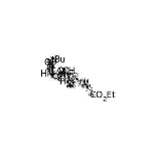 CCOC(=O)CCCCN1CCC(C#Cc2ccc([C@H](C)NC(=O)c3cc(NC4CN(C(=O)OC(C)(C)C)C4)ccc3C)cc2-c2cccs2)CC1